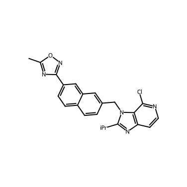 Cc1nc(-c2ccc3ccc(Cn4c(C(C)C)nc5ccnc(Cl)c54)cc3c2)no1